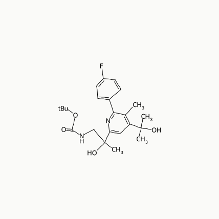 Cc1c(C(C)(C)O)cc(C(C)(O)CNC(=O)OC(C)(C)C)nc1-c1ccc(F)cc1